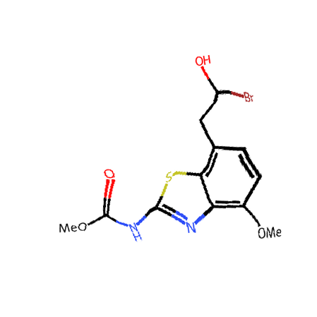 COC(=O)Nc1nc2c(OC)ccc(CC(O)Br)c2s1